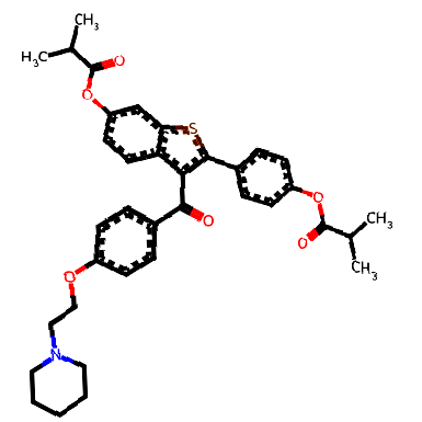 CC(C)C(=O)Oc1ccc(-c2sc3cc(OC(=O)C(C)C)ccc3c2C(=O)c2ccc(OCCN3CCCCC3)cc2)cc1